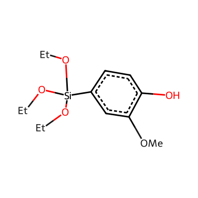 CCO[Si](OCC)(OCC)c1ccc(O)c(OC)c1